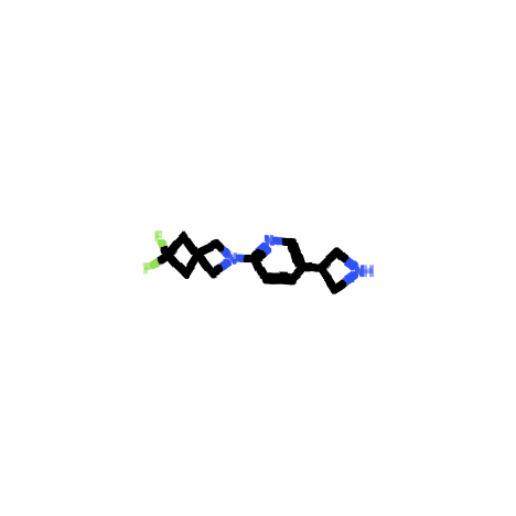 FC1(F)CC2(CN(c3ccc(C4CNC4)cn3)C2)C1